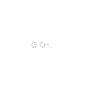 Nc1nc(C(=O)NCCN2CCCCC2)ccc1-c1cc(Cl)cc(Cl)c1Cl